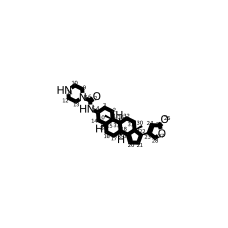 C[C@]12CCC(NC(=O)N3CCNCC3)C[C@H]1CC[C@H]1C3=CC[C@H](C4=CC(=O)OC4)[C@@]3(C)CC[C@@H]12